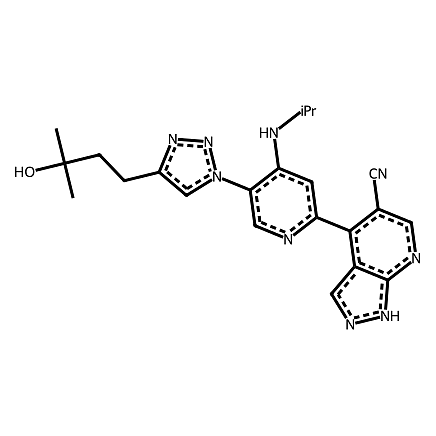 CC(C)Nc1cc(-c2c(C#N)cnc3[nH]ncc23)ncc1-n1cc(CCC(C)(C)O)nn1